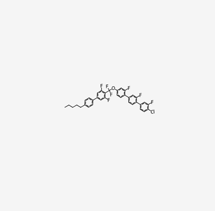 CCCCCc1ccc(-c2cc(F)c(C(F)(F)Oc3ccc(-c4ccc(-c5ccc(Cl)c(F)c5)c(F)c4)c(F)c3)c(F)c2)cc1